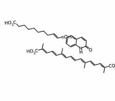 CC(/C=C/C=C(\C)C(=O)O)=C\C=C\C=C(C)\C=C\C=C(/C)C(=O)O.CCCCCCCC/C=C/CCCCCCCC(=O)O.O=c1ccc2ccccc2[nH]1